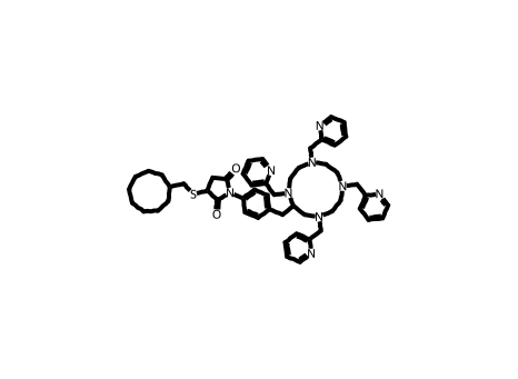 O=C1CC(SCC2CCCCCCCC2)C(=O)N1c1ccc(CC2CN(Cc3ccccn3)CCN(Cc3ccccn3)CCN(Cc3ccccn3)CCN2Cc2ccccn2)cc1